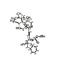 C=C(C)/C(C)=C(\C=C/C)SC(C)/C=N\C(C#CCCC1(CCC)Cc2ccccc2[C@H]1NC(=O)OC(C)(C)C)=C(/C)CO